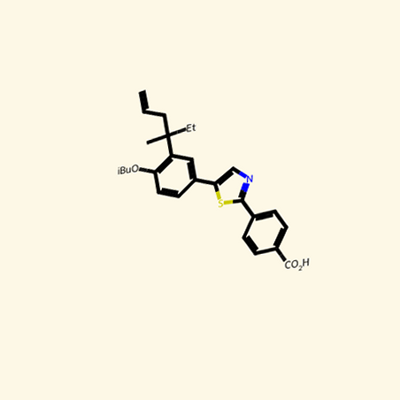 C=CCC(C)(CC)c1cc(-c2cnc(-c3ccc(C(=O)O)cc3)s2)ccc1OCC(C)C